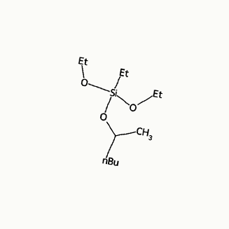 CCCCC(C)O[Si](CC)(OCC)OCC